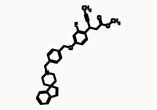 CC#CC(CC(=O)OC)c1ccc(OCc2ccc(CN3CCC4(C=Cc5ccccc54)CC3)cc2)cc1F